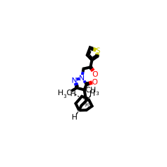 CC1=NN(CC(=O)c2ccsc2)C(=O)C1(C)[C@@H]1C[C@H]2CC[C@@H]1CC2